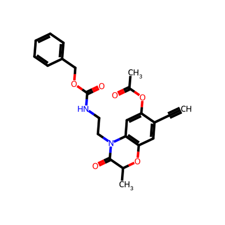 C#Cc1cc2c(cc1OC(C)=O)N(CCNC(=O)OCc1ccccc1)C(=O)C(C)O2